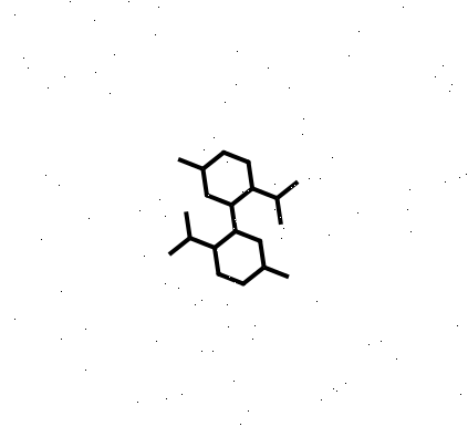 CC1CCC(C(C)C)C(C2CC(C)CCC2C(C)C)C1